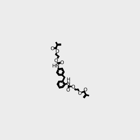 C=C(C)C(=O)OCCOC(=O)Nc1ccc(Cc2ccccc2NC(=O)OCCOC(=O)C(=C)C)cc1